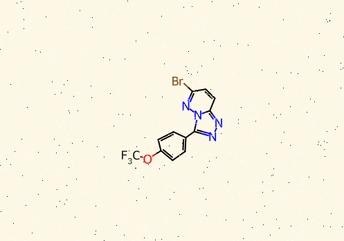 FC(F)(F)Oc1ccc(-c2nnc3ccc(Br)nn23)cc1